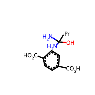 CC(C)C(N)(N)O.O=C(O)c1ccc(C(=O)O)cc1